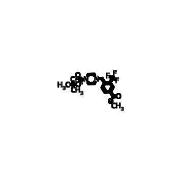 COC(=O)c1ccc(CN2CCN(C(=O)OC(C)(C)C)CC2)c(C(F)(F)F)c1